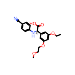 CCOc1cc(OCCOC)cc([C@@H](Nc2ccc(C#N)cc2)C(=O)O)c1